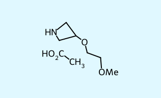 CC(=O)O.COCCOC1CNC1